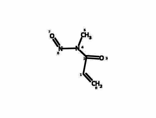 C=CC(=O)N(C)N=O